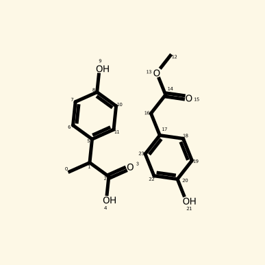 CC(C(=O)O)c1ccc(O)cc1.COC(=O)Cc1ccc(O)cc1